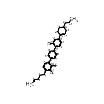 C=CCCCc1ccc(-c2ccc(-c3ccc(C4=CCC(CCC)CC4)cc3F)cc2)c(F)c1F